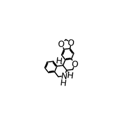 c1ccc2c(c1)CN[C@@H]1COc3cc4c(cc3[C@H]21)OCO4